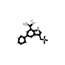 C[N+](C)(C)Cc1c[nH]c2c(C(N)=O)cc(-c3ccccc3)cc12.[I-]